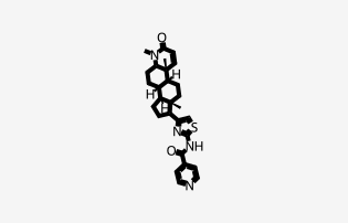 CN1C(=O)C=C[C@@]2(C)C1CC[C@@H]1[C@H]2CC[C@]2(C)C(c3csc(NC(=O)c4ccncc4)n3)CC[C@@H]12